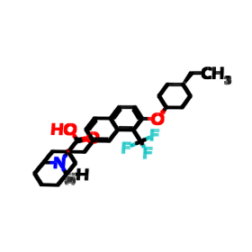 CC[C@H]1CC[C@@H](Oc2ccc3ccc(CCN4C5CCC[C@@H]4CC(C(=O)O)C5)cc3c2C(F)(F)F)CC1